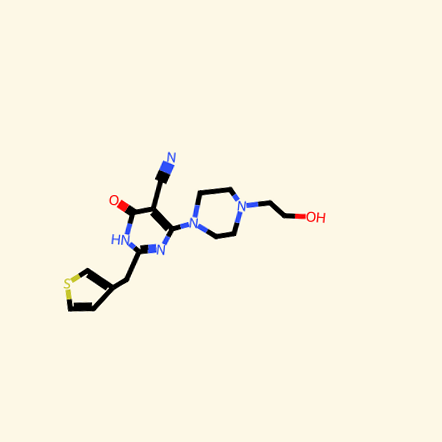 N#Cc1c(N2CCN(CCO)CC2)nc(Cc2ccsc2)[nH]c1=O